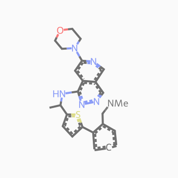 CNCc1ccccc1-c1ccc(C(C)Nc2nncc3cnc(N4CCOCC4)cc23)s1